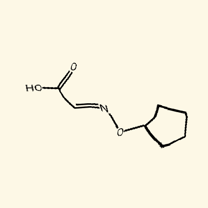 O=C(O)C=NOC1CCCC1